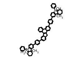 CC12CCCCC1(C)N(c1ccccc1)c1ccc(-c3ccc(-c4ccc5c(c4)-c4c(c6ccc(-c7ccc(-c8ccc9c(c8)C8(C)CCCCC8(C)N9c8ccccc8)cc7)cc6c6ccccc46)C5)cc3)cc12